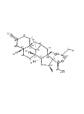 CCC(=O)O[C@]1(C(=O)CCl)[C@@H](C)C[C@H]2[C@@H]3CC[C@@H]4CC(=O)CC[C@]4(C)[C@]34OC4C[C@@]21C